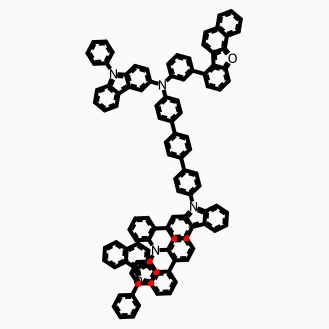 c1ccc(-c2ccc(N(c3ccccc3-c3ccc4c5ccccc5n(-c5ccc(-c6ccc(-c7ccc(N(c8cccc(-c9cccc%10oc%11c%12ccccc%12ccc%11c9%10)c8)c8ccc9c(c8)c8ccccc8n9-c8ccccc8)cc7)cc6)cc5)c4c3)c3ccccc3-c3cccc4oc5c6ccccc6ccc5c34)cc2)cc1